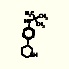 CC(C)(C)Nc1ccc(C2CCCNC2)cc1